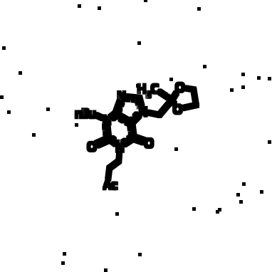 CCCCn1c(=O)n(CCC(C)=O)c(=O)c2c1ncn2CC1(C)OCCO1